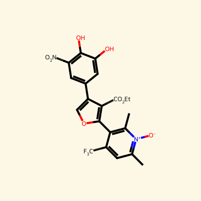 CCOC(=O)c1c(-c2cc(O)c(O)c([N+](=O)[O-])c2)coc1-c1c(C(F)(F)F)cc(C)[n+]([O-])c1C